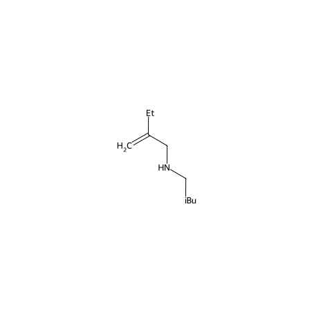 C=C(CC)CNCC(C)CC